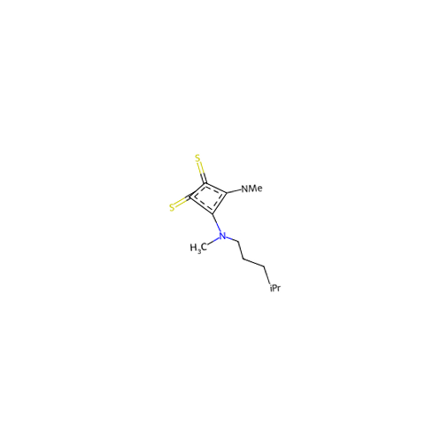 CNc1c(N(C)CCCC(C)C)c(=S)c1=S